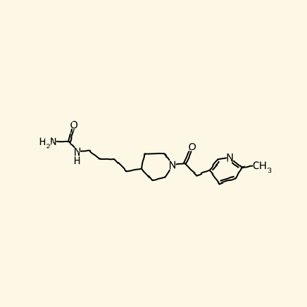 Cc1ccc(CC(=O)N2CCC(CCCCNC(N)=O)CC2)cn1